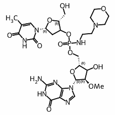 CO[C@@H]1C(O)[C@@H](COP(=O)(NCCN2CCOCC2)OC2C[C@H](n3cc(C)c(=O)[nH]c3=O)O[C@@H]2CO)O[C@H]1n1cnc2c(=O)[nH]c(N)nc21